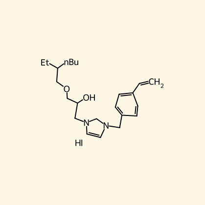 C=Cc1ccc(CN2C=CN(CC(O)COCC(CC)CCCC)C2)cc1.I